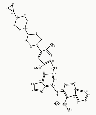 COc1cc(N2CCC(N3CCN(C4CC4)CC3)CC2)c(C)cc1Nc1nc(Nc2ccc3nccnc3c2N(C)C)c2cc[nH]c2n1